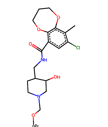 CCCOCN1CCC(CNC(=O)c2cc(Cl)c(C)c3c2OCCCO3)C(O)C1